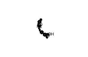 CCOc1ccc(-c2ccc(CCCc3nn(Cc4ccc(C(C)(C)C)cc4)c(=O)n3C)cc2)cc1CC(=O)O